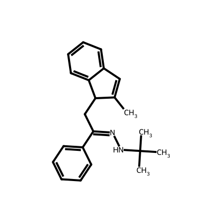 CC1=Cc2ccccc2C1CC(=NNC(C)(C)C)c1ccccc1